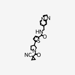 N#CC1(C(=O)N2CCC(c3ccc(C(=O)NCc4ccn5ccnc5c4)s3)C2)CC1